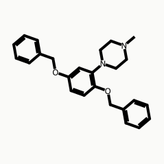 CN1CCN(c2cc(OCc3ccccc3)ccc2OCc2ccccc2)CC1